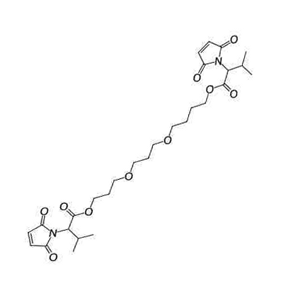 CC(C)C(C(=O)OCCCCOCCCOCCCOC(=O)C(C(C)C)N1C(=O)C=CC1=O)N1C(=O)C=CC1=O